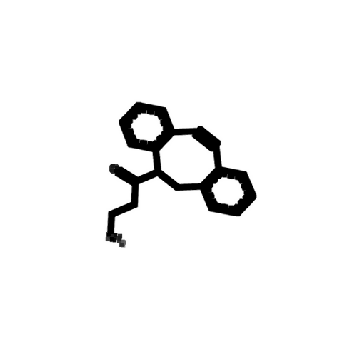 NCCC(=O)C1Cc2ccccc2C#Cc2ccccc21